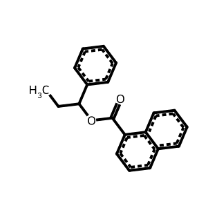 CCC(OC(=O)c1cccc2ccccc12)c1ccccc1